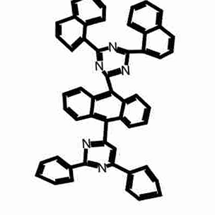 c1ccc(-c2cc(-c3c4ccccc4c(-c4nc(-c5cccc6ccccc56)nc(-c5cccc6ccccc56)n4)c4ccccc34)nc(-c3ccccc3)n2)cc1